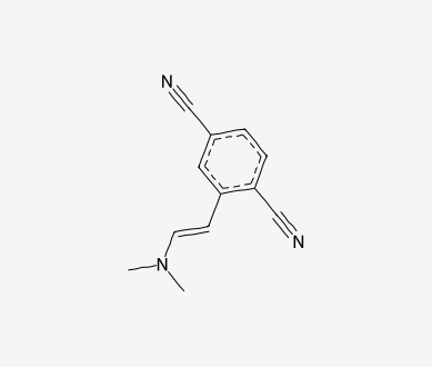 CN(C)C=Cc1cc(C#N)ccc1C#N